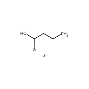 CCC[CH](O)[Zr].[Zr]